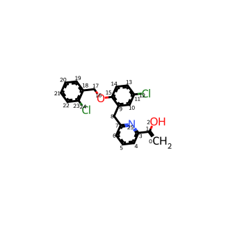 C=C(O)c1cccc(Cc2cc(Cl)ccc2OCc2ccccc2Cl)n1